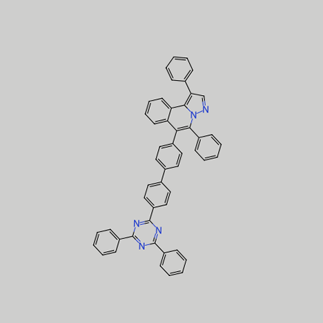 c1ccc(-c2nc(-c3ccccc3)nc(-c3ccc(-c4ccc(-c5c(-c6ccccc6)n6ncc(-c7ccccc7)c6c6ccccc56)cc4)cc3)n2)cc1